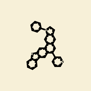 c1ccc(-n2ccc3cc4cc(-c5cccnc5)c5cc6c(cc5c4cc32)sc2ccccc26)cc1